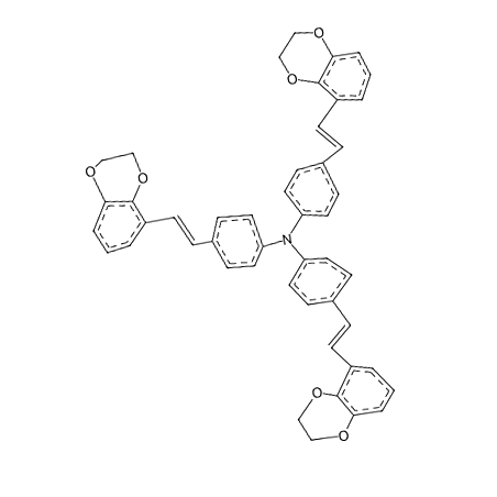 C(=C\c1cccc2c1OCCO2)/c1ccc(N(c2ccc(/C=C/c3cccc4c3OCCO4)cc2)c2ccc(/C=C/c3cccc4c3OCCO4)cc2)cc1